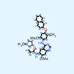 COc1cc2ncnc(Nc3cc(C)c(Oc4ccc5ccccc5c4)cc3OC)c2cc1NC(=O)/C(F)=C\[C@H]1CCCN1C